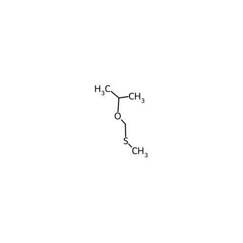 CSCOC(C)C